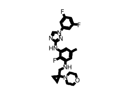 Cc1cc(NCC2(N3CCOCC3)CC2)c(F)c(Nc2ncn(-c3cc(F)cc(F)c3)n2)c1